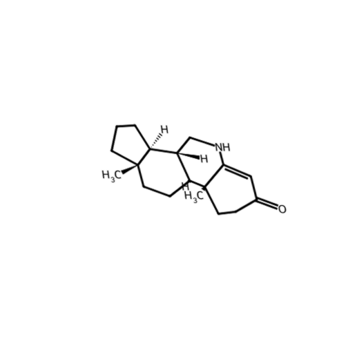 C[C@@]12CCC[C@H]1[C@@H]1CNC3=CC(=O)CC[C@]3(C)[C@H]1CC2